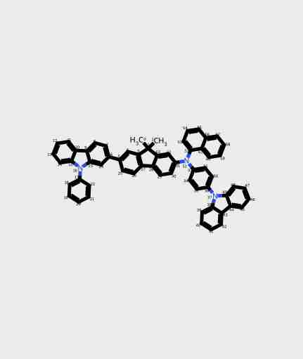 CC1(C)c2cc(-c3ccc4c5ccccc5n(-c5ccccc5)c4c3)ccc2-c2ccc(N(c3ccc(-n4c5ccccc5c5ccccc54)cc3)c3cccc4ccccc34)cc21